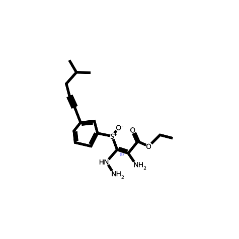 CCOC(=O)/C(N)=C(/NN)[S+]([O-])c1cccc(C#CCC(C)C)c1